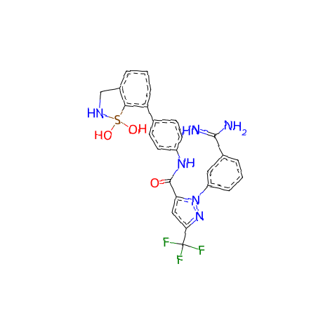 N=C(N)c1cccc(-n2nc(C(F)(F)F)cc2C(=O)Nc2ccc(-c3cccc4c3S(O)(O)NC4)cc2)c1